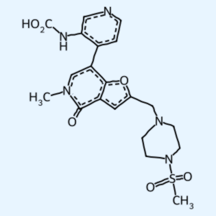 Cn1cc(-c2ccncc2NC(=O)O)c2oc(CN3CCN(S(C)(=O)=O)CC3)cc2c1=O